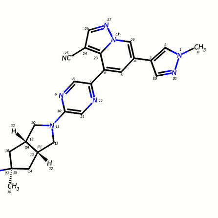 Cn1cc(-c2cc(-c3cnc(N4C[C@@H]5C[C@@](C)(N)C[C@@H]5C4)cn3)c3c(C#N)cnn3c2)cn1